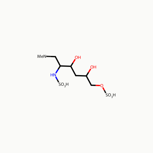 CNCC(NS(=O)(=O)O)C(O)CC(O)COS(=O)(=O)O